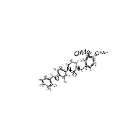 COc1ccc(CN2CCCN(c3ccc(OCc4ccccc4)c(C)c3)C2=O)cc1OC